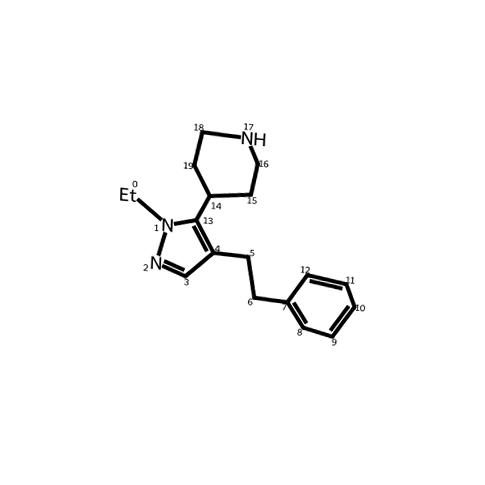 CCn1ncc(CCc2ccccc2)c1C1CCNCC1